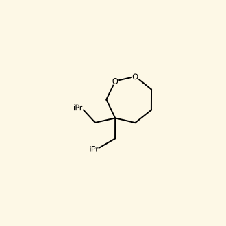 CC(C)CC1(CC(C)C)CCCOOC1